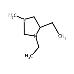 CCC1CN(C)CN1CC